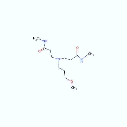 CNC(=O)CCN(CCCOC)CCC(=O)NC